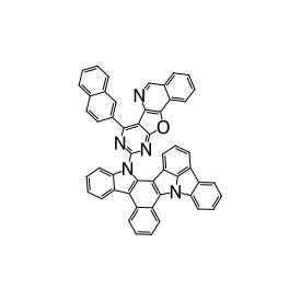 c1ccc2cc(-c3nc(-n4c5ccccc5c5c6ccccc6c6c(c7cccc8c9ccccc9n6c87)c54)nc4oc5c6ccccc6cnc5c34)ccc2c1